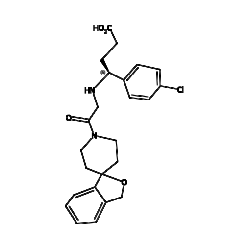 O=C(O)CC[C@H](NCC(=O)N1CCC2(CC1)OCc1ccccc12)c1ccc(Cl)cc1